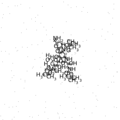 C[C@@H]([C@@H](O)[C@H](OCCO)O[C@@H]1[C@@H](O)[C@H](O[C@@H]2CCC=C(CN)O2)[C@@H](NC(=O)OC(C)(C)C)C[C@H]1NC(=O)[C@@H](O)CNC(=O)OC(C)(C)C)N(C)C(=O)OC(C)(C)C